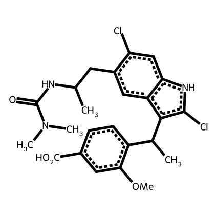 COc1cc(C(=O)O)ccc1C(C)c1c(Cl)[nH]c2cc(Cl)c(CC(C)NC(=O)N(C)C)cc12